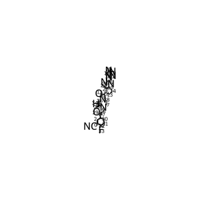 N#Cc1cc([C@@H]2CN3CCN(C(=O)C4CCc5nc(-n6cnnn6)ncc54)C[C@@H]3CO2)ccc1F